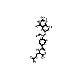 Nc1nc2c(c(=O)[nH]1)N[C@H](CN(C=O)c1ccc(C(=O)NC(CCC(=O)O)C(=O)O)cc1)CN2